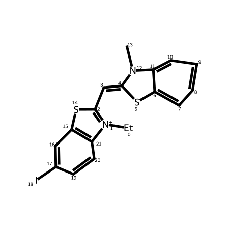 CC[n+]1c(C=C2Sc3ccccc3N2C)sc2cc(I)ccc21